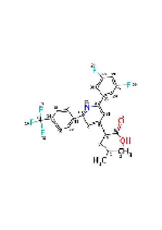 CC(C)CC(C(=O)O)c1cc(-c2ccc(C(F)(F)F)cc2)nc(-c2cc(F)cc(F)c2)c1